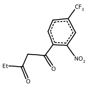 CCC(=O)CC(=O)c1ccc(C(F)(F)F)cc1[N+](=O)[O-]